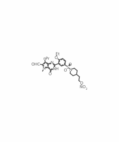 CCCc1c(C=O)n(C)c2c(=O)[nH]c(-c3cc(S(=O)(=O)N4CCC(CCO[N+](=O)[O-])CC4)ccc3OCC)nc12